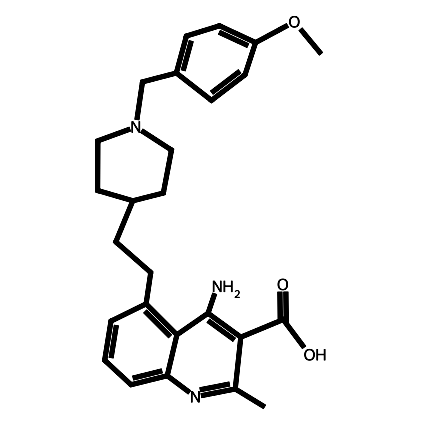 COc1ccc(CN2CCC(CCc3cccc4nc(C)c(C(=O)O)c(N)c34)CC2)cc1